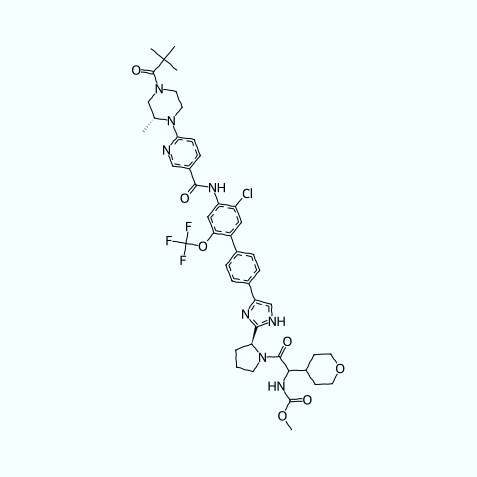 COC(=O)NC(C(=O)N1CCC[C@H]1c1nc(-c2ccc(-c3cc(Cl)c(NC(=O)c4ccc(N5CCN(C(=O)C(C)(C)C)C[C@H]5C)nc4)cc3OC(F)(F)F)cc2)c[nH]1)C1CCOCC1